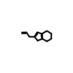 C=CCC1=CC2=C([CH]1)CCCC2